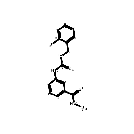 CNC(=O)c1cccc(NC(=O)OCc2ccccc2F)c1